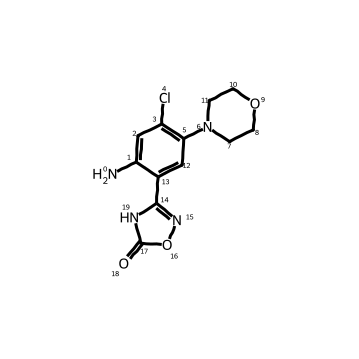 Nc1cc(Cl)c(N2CCOCC2)cc1-c1noc(=O)[nH]1